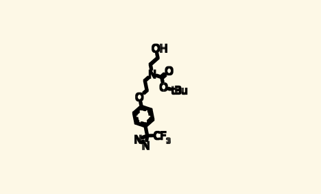 CC(C)(C)OC(=O)N(CCO)CCOc1ccc(C2(C(F)(F)F)N=N2)cc1